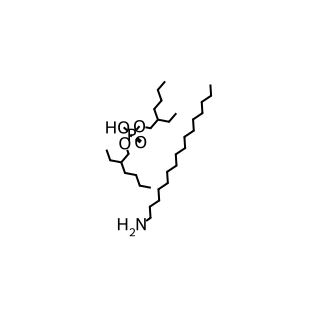 CCCCC(CC)COP(=O)(O)OCC(CC)CCCC.CCCCCCCCCCCCCCCCN